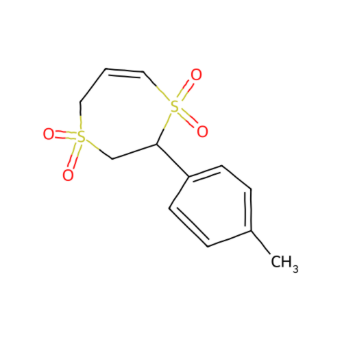 Cc1ccc(C2CS(=O)(=O)CC=CS2(=O)=O)cc1